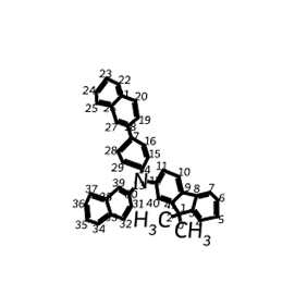 CC1(C)c2ccccc2-c2ccc(N(c3ccc(-c4ccc5ccccc5c4)cc3)c3ccc4ccccc4c3)cc21